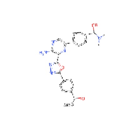 COC(=O)c1ccc(-c2nnc(-c3nc(-c4ccc(C(O)N(C)C)cc4)cnc3N)o2)cc1